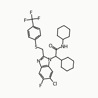 O=C(NC1CCCCC1)C(C1CCCCC1)n1c(CSc2ccc(C(F)(F)F)cc2)nc2cc(F)c(Cl)cc21